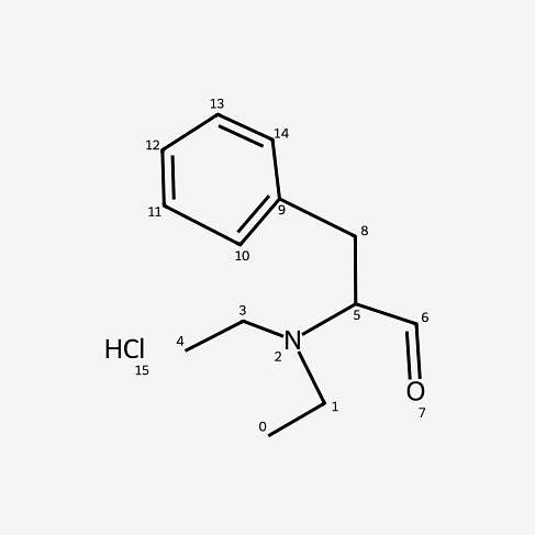 CCN(CC)C(C=O)Cc1ccccc1.Cl